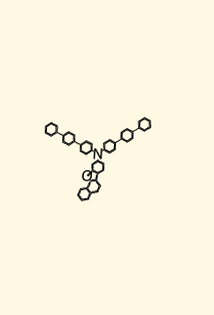 c1ccc(-c2ccc(-c3ccc(N(c4ccc(-c5ccc(-c6ccccc6)cc5)cc4)c4ccc5c(c4)oc4c6ccccc6ccc54)cc3)cc2)cc1